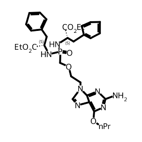 CCCOc1nc(N)nc2c1ncn2CCOCP(=O)(N[C@@H](Cc1ccccc1)C(=O)OCC)N[C@@H](Cc1ccccc1)C(=O)OCC